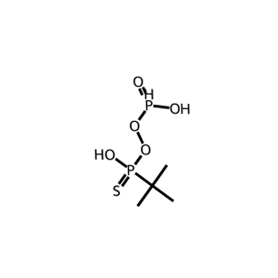 CC(C)(C)P(O)(=S)OO[PH](=O)O